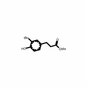 COC(=O)CCc1ccc(O)c(C(C)(C)C)c1